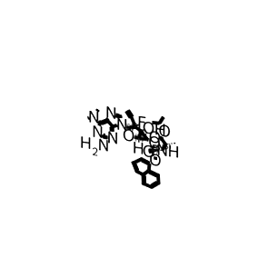 C#C[C@]1(F)[C@H](n2cnc3c(N(C)C)nc(N)nc32)O[C@@H]2C(O[P@@](=O)(N[C@@H](C)C(=O)OC(C)C)Oc3cccc4ccccc34)[C@@]21O